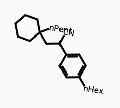 CCCCCCc1ccc(C(C#N)CC2(CCCCC)CCCCC2)cc1